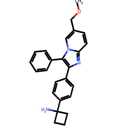 COCc1ccc2nc(-c3ccc(C4(N)CCC4)cc3)c(-c3ccccc3)n2c1